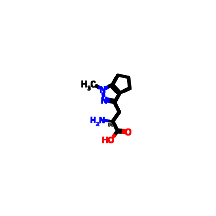 Cn1nc(C[C@H](N)C(=O)O)c2c1CCC2